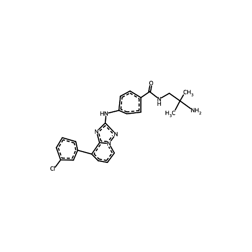 CC(C)(N)CNC(=O)c1ccc(Nc2nc3c(-c4cccc(Cl)c4)cccn3n2)cc1